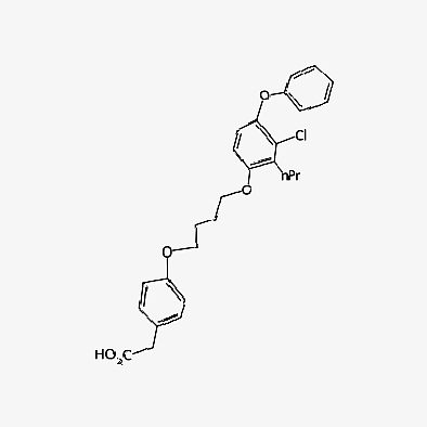 CCCc1c(OCCCCOc2ccc(CC(=O)O)cc2)ccc(Oc2ccccc2)c1Cl